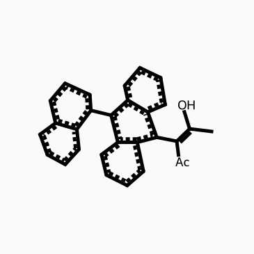 CC(=O)C(=C(C)O)c1c2ccccc2c(-c2cccc3ccccc23)c2ccccc12